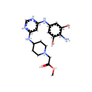 COC(=O)CN1CCC(Nc2cc(Nc3cc(Br)c(N)c(Br)c3)ncn2)CC1